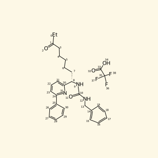 CCC(=O)CCCCC[C@H](NC(=O)NCc1ccccc1)c1cccc(-c2ccccc2)n1.O=C(O)C(F)(F)F